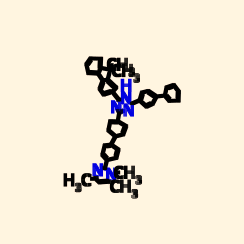 CC1=CC(C)=NC(c2ccc(C3C=CC(C4=NC(c5ccc(-c6ccccc6)cc5)NC(c5ccc6c(c5)C(C)(C)c5ccccc5-6)=N4)=CC3)cc2)N1C